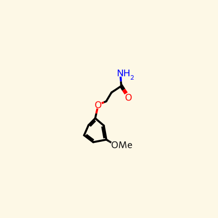 COc1cccc(OCCC(N)=O)c1